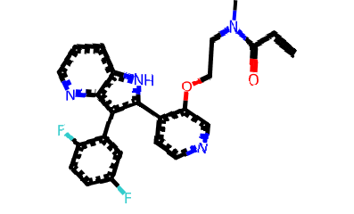 C=CC(=O)N(C)CCOc1cnccc1-c1[nH]c2cccnc2c1-c1cc(F)ccc1F